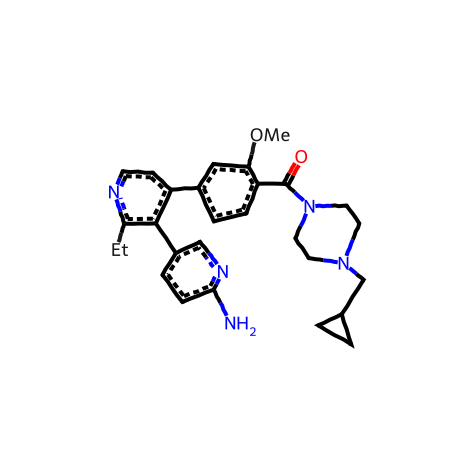 CCc1nccc(-c2ccc(C(=O)N3CCN(CC4CC4)CC3)c(OC)c2)c1-c1ccc(N)nc1